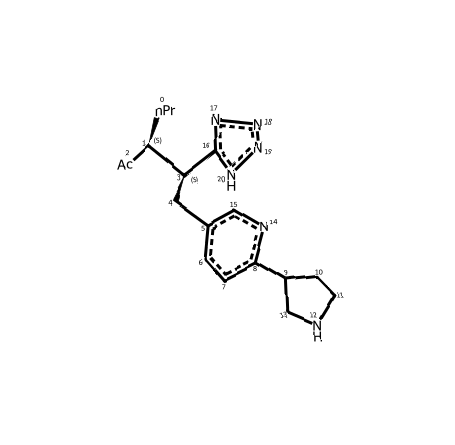 CCC[C@H](C(C)=O)[C@H](Cc1ccc(C2CCNC2)nc1)c1nnn[nH]1